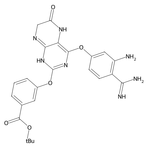 CC(C)(C)OC(=O)c1cccc(OC2=NC(Oc3ccc(C(=N)N)c(N)c3)=C3NC(=O)CN=C3N2)c1